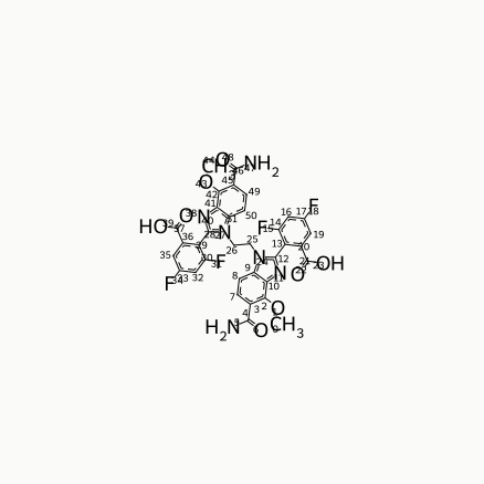 COc1c(C(N)=O)ccc2c1nc(-c1c(F)cc(F)cc1C(=O)O)n2CCn1c(-c2c(F)cc(F)cc2C(=O)O)nc2c(OC)c(C(N)=O)ccc21